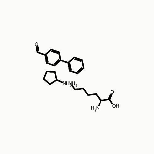 NC1CCCC1.NCCCC[C@H](N)C(=O)O.O=Cc1ccc(-c2ccccc2)cc1